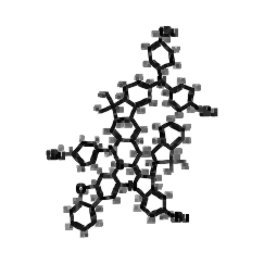 CC(C)(C)c1ccc(N2B3c4cc5oc6ccccc6c5cc4-n4c5ccc(C(C)(C)C)cc5c5c6c(c(c3c54)-c3cc4c(cc32)C(C)(C)c2ccc(N(c3ccc(C(C)(C)C)cc3)c3ccc(C(C)(C)C)cc3)cc2-4)-c2ccccc2C6(C)C)cc1